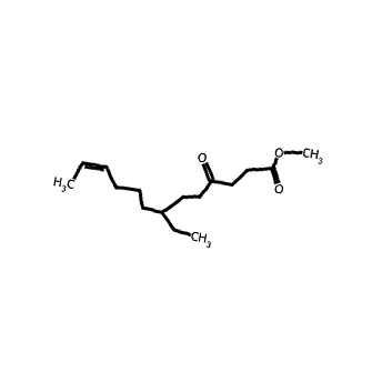 C/C=C\CCCC(CC)CCC(=O)CCC(=O)OC